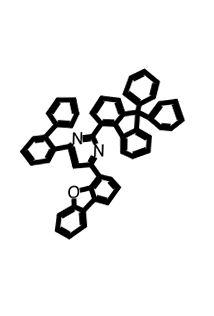 c1ccc(-c2ccccc2-c2cc(-c3cccc4c3oc3ccccc34)nc(-c3cccc4c3-c3ccccc3C4(c3ccccc3)c3ccccc3)n2)cc1